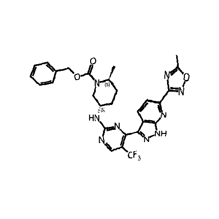 Cc1nc(-c2ccc3c(-c4nc(N[C@H]5CC[C@H](C)N(C(=O)OCc6ccccc6)C5)ncc4C(F)(F)F)n[nH]c3n2)no1